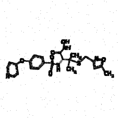 Cc1cc(CSC(C)(C)[C@H](NS(=O)(=O)c2ccc(Oc3ccncc3)cc2)C(=O)NO)no1